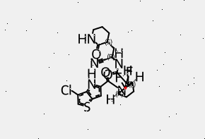 N#C[C@@H](C[C@@H]1CCCNC1=O)NC(=O)[C@@H]1[C@H]2CC[C@H](CC2(F)F)N1C(=O)c1cc2scc(Cl)c2[nH]1